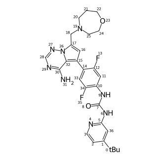 CC(C)(C)c1ccnc(NC(=O)Nc2cc(F)c(-c3cc(CN4CCCOCC4)n4ncnc(N)c34)cc2F)c1